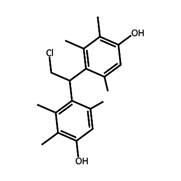 Cc1cc(O)c(C)c(C)c1C(CCl)c1c(C)cc(O)c(C)c1C